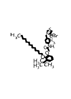 Br.CCCCCCCCCCCCCCOc1c(OCC(=O)Nc2ccc(CN3CSC=C3C)cc2)cccc1C(C)(C)C